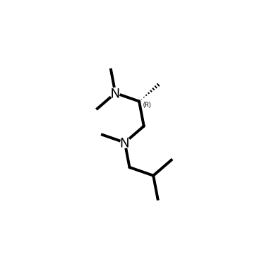 CC(C)CN(C)C[C@@H](C)N(C)C